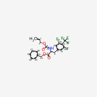 C=CCOC(=O)NC(Cc1cc(F)c(C(F)(F)F)c(F)c1)C(=O)OCc1ccccc1